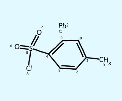 Cc1ccc(S(=O)(=O)Cl)cc1.[Pb]